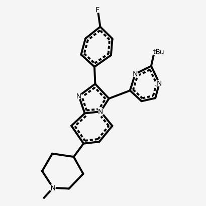 CN1CCC(c2ccn3c(-c4ccnc(C(C)(C)C)n4)c(-c4ccc(F)cc4)nc3c2)CC1